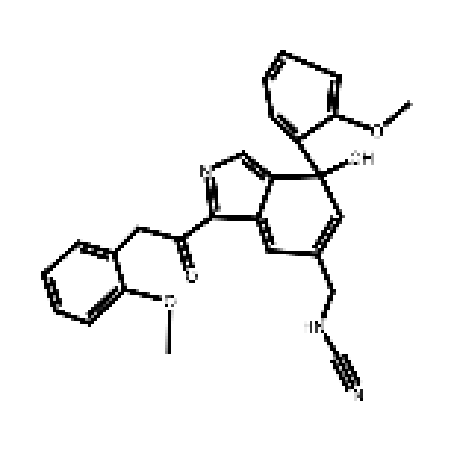 COc1ccccc1CC(=O)C1=NC=C2C1=CC(CNC#N)=CC2(O)c1ccccc1OC